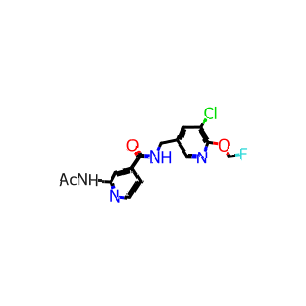 CC(=O)Nc1cc(C(=O)NCc2cnc(OCF)c(Cl)c2)ccn1